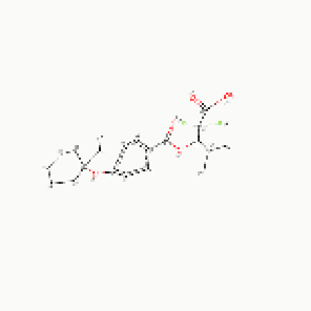 CCC1(Oc2ccc(C(=O)OC(C(C)C)C(F)(F)C(=O)O)cc2)CCCCC1